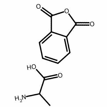 CC(N)C(=O)O.O=C1OC(=O)c2ccccc21